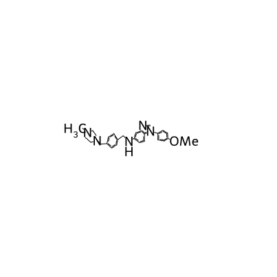 COc1ccc(-n2cnc3cc(NCc4ccc(CN5CCN(C)CC5)cc4)ccc32)cc1